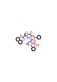 CC(C)CC(C(=O)NC(CCc1ccccc1)C(=O)c1nc(C(=O)N(C)c2cccc3ccccc23)co1)N(Cc1ccccc1)C(=O)O